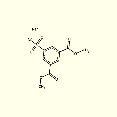 COC(=O)c1cc(C(=O)OC)cc(S(=O)(=O)[O-])c1.[Na+]